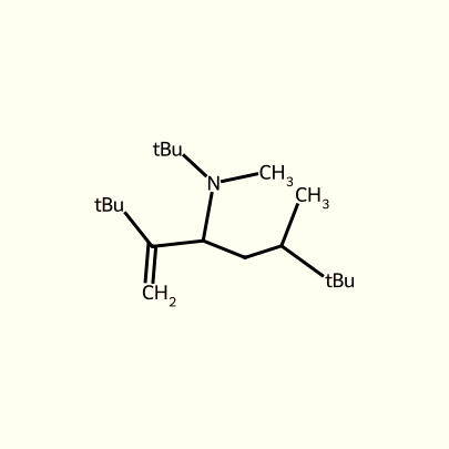 C=C(C(CC(C)C(C)(C)C)N(C)C(C)(C)C)C(C)(C)C